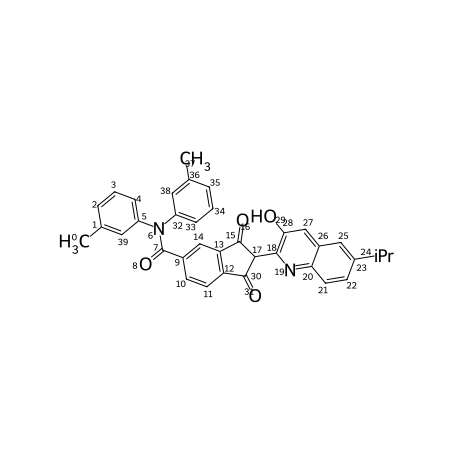 Cc1cccc(N(C(=O)c2ccc3c(c2)C(=O)C(c2nc4ccc(C(C)C)cc4cc2O)C3=O)c2cccc(C)c2)c1